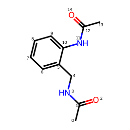 CC(=O)NCc1ccccc1NC(C)=O